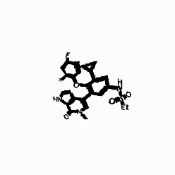 CCS(=O)(=O)Nc1cc(-c2cn(C)c(=O)c3[nH]ccc23)c(Oc2ccc(F)cc2F)c(C2CC2)c1